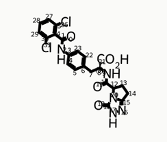 O=C(Nc1ccc(C[C@H](NC(=O)C2CCc3n[nH]c(=O)n32)C(=O)O)cc1)c1c(Cl)cccc1Cl